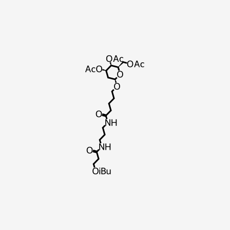 CC(=O)OC[C@H]1O[C@@H](OCCCCC(=O)NCCCNC(=O)CCOCC(C)C)C[C@@H](OC(C)=O)[C@H]1OC(C)=O